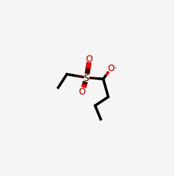 CCCC([O])S(=O)(=O)CC